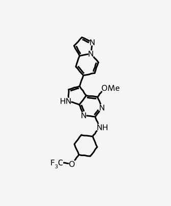 COc1nc(NC2CCC(OC(F)(F)F)CC2)nc2[nH]cc(-c3ccn4nccc4c3)c12